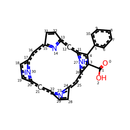 O=C(O)c1c(-c2ccccc2)c2cc3nc(cc4ccc(cc5nc(cc1[nH]2)C=C5)[nH]4)C=C3